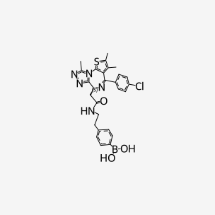 Cc1sc2c(c1C)C(c1ccc(Cl)cc1)=N[C@@H](CC(=O)NCCc1ccc(B(O)O)cc1)c1nnc(C)n1-2